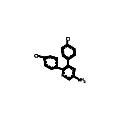 Nc1cnc(-c2ccc(Cl)cc2)c(-c2ccc(Cl)cc2)c1